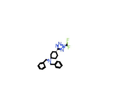 FC(F)n1nnc([C@H]2CC[C@H](N(Cc3ccccc3)Cc3ccccc3)CC2)n1